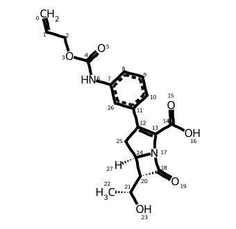 C=CCOC(=O)Nc1cccc(C2=C(C(=O)O)N3C(=O)[C@H]([C@@H](C)O)[C@H]3C2)c1